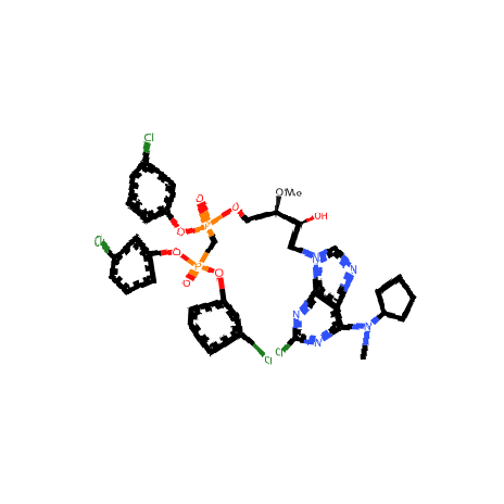 CO[C@H](COP(=O)(CP(=O)(Oc1cccc(Cl)c1)Oc1cccc(Cl)c1)Oc1cccc(Cl)c1)[C@@H](O)Cn1cnc2c(N(C)C3CCCC3)nc(Cl)nc21